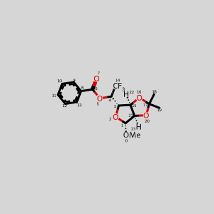 CO[C@@H]1O[C@H](C(OC(=O)c2ccccc2)C(F)(F)F)[C@H]2OC(C)(C)O[C@@H]12